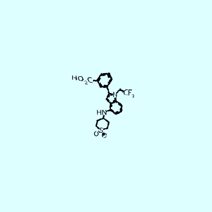 O=C(O)c1cccc(-c2cc3c(NC4CCS(=O)(=O)CC4)cccc3n2CC(F)(F)F)c1